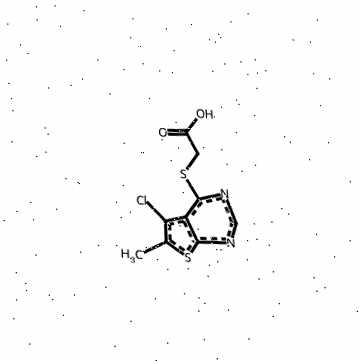 Cc1sc2ncnc(SCC(=O)O)c2c1Cl